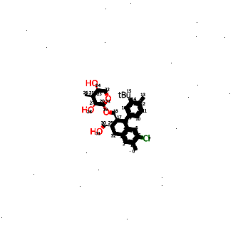 Cc1cc2c(cc1Cl)C(c1ccc(C)c(C(C)(C)C)c1)[C@H](CO[C@@H]1OC[C@@H](O)[C@H](C)[C@H]1O)[C@@H](CO)C2